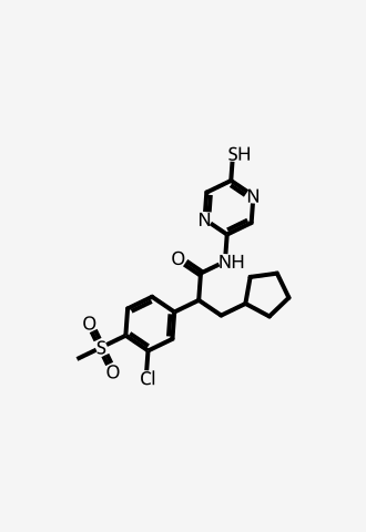 CS(=O)(=O)c1ccc(C(CC2CCCC2)C(=O)Nc2cnc(S)cn2)cc1Cl